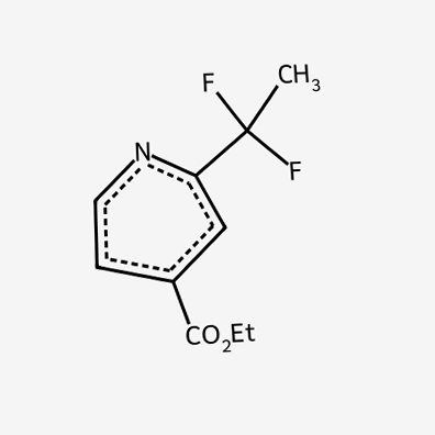 CCOC(=O)c1ccnc(C(C)(F)F)c1